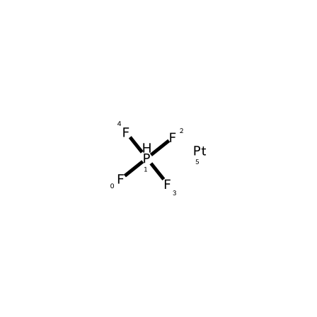 F[PH](F)(F)F.[Pt]